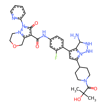 CC(C)(O)C(=O)N1CCC(c2cc(-c3ccc(NC(=O)c4c5n(n(-c6ccccn6)c4=O)CCOC5)cc3F)c3n2NNC3N)CC1